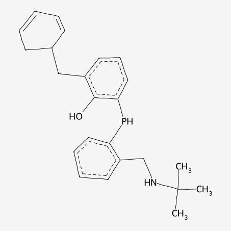 CC(C)(C)NCc1ccccc1Pc1cccc(CC2C=CC=CC2)c1O